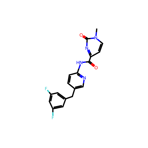 Cn1ccc(C(=O)Nc2ccc(Cc3cc(F)cc(F)c3)cn2)nc1=O